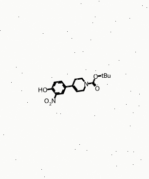 CC(C)(C)OC(=O)N1CC=C(c2ccc(O)c([N+](=O)[O-])c2)CC1